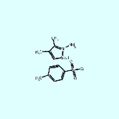 CC1=[CH][SbH][N+](N)=C1C.Cc1ccc(S(=O)(=O)[O-])cc1